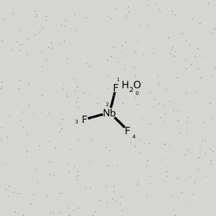 O.[F][Nb]([F])[F]